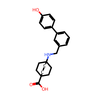 O=C(O)C12CCC(NCc3cccc(-c4ccc(O)cc4)c3)(CC1)CC2